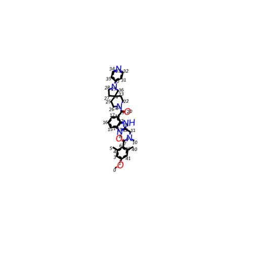 COc1cc(C)c(C(=O)N(C)Cc2nc3cccc(C(=O)N4CCC5(CC4)CCN(c4ccncc4)C5)c3[nH]2)c(C)c1